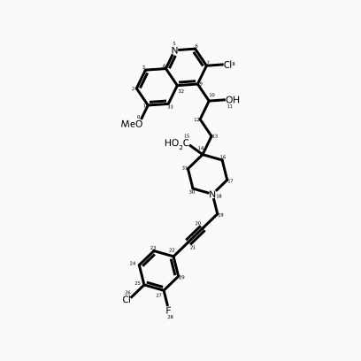 COc1ccc2ncc(Cl)c(C(O)CCC3(C(=O)O)CCN(CC#Cc4ccc(Cl)c(F)c4)CC3)c2c1